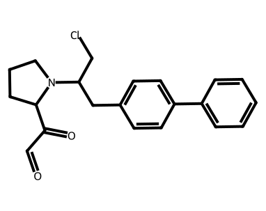 O=CC(=O)C1CCCN1C(CCl)Cc1ccc(-c2ccccc2)cc1